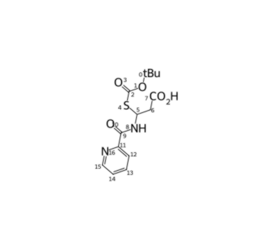 CC(C)(C)OC(=O)SC(CC(=O)O)NC(=O)c1ccccn1